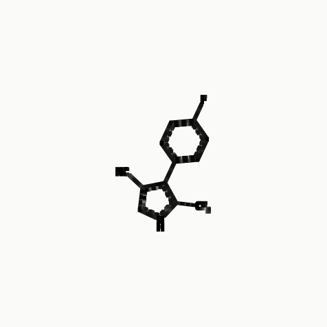 N#Cc1c[nH]c(C(F)(F)F)c1-c1ccc(F)cc1